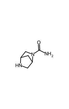 NC(=O)N1CC2CC1CN2